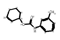 Cc1cccc(NC(=O)OC2CCCCC2)c1